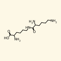 NCCCCC(N)C(=O)NCCCCC(N)C(=O)O